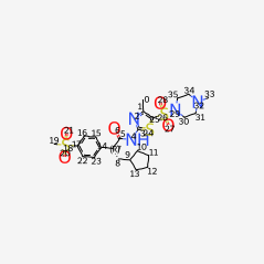 Cc1nc(NC(=O)[C@H](CC2CCCC2)c2ccc(S(C)(=O)=O)cc2)sc1S(=O)(=O)N1CCN(C)CC1